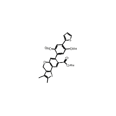 COC(=O)c1cc2c(cc1-c1cc(OC)c(-c3cccs3)cc1C=O)OCc1c-2sc(C)c1C